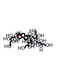 C=C1C[C@@]23CCC4[C@@](C)(CCC[C@@]4(C)C(=O)OC4OC(CO)C(O)C(OC(O)/C(O)=C(\O)C(O)CCO)C4OC(O)/C(O)=C(\O)C(O)CCO)C2CC[C@]1(OC(O)/C(O)=C(/O)C(O)CCO)[C@@H]3C